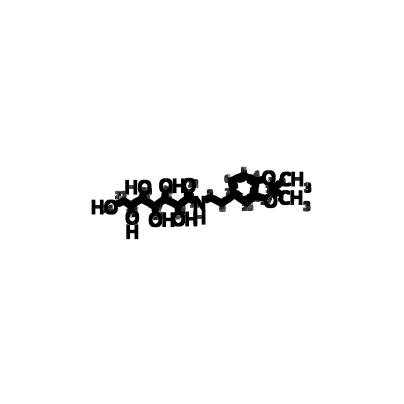 CC1(C)Oc2ccc(CCNC(=O)C(O)C(O)C(O)C(O)C(O)CO)cc2O1